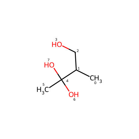 CC(CO)C(C)(O)O